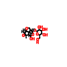 C[C@@]12O[C@@H]1[C@@H]1OC[C@@H]3[C@H](O[C@@H]4O[C@H](CO)[C@@H](O)[C@H](O)[C@H]4O)O[C@@H](O)[C@H]2[C@@H]31